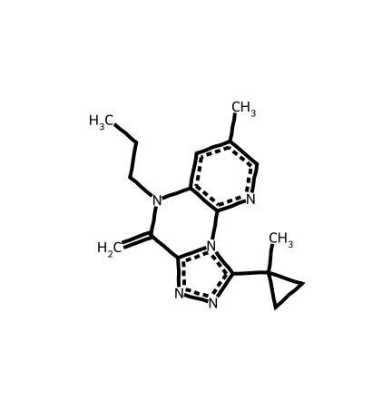 C=C1c2nnc(C3(C)CC3)n2-c2ncc(C)cc2N1CCC